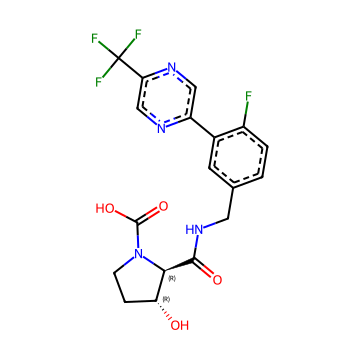 O=C(NCc1ccc(F)c(-c2cnc(C(F)(F)F)cn2)c1)[C@H]1[C@H](O)CCN1C(=O)O